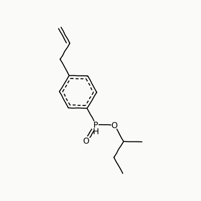 C=CCc1ccc([PH](=O)OC(C)CC)cc1